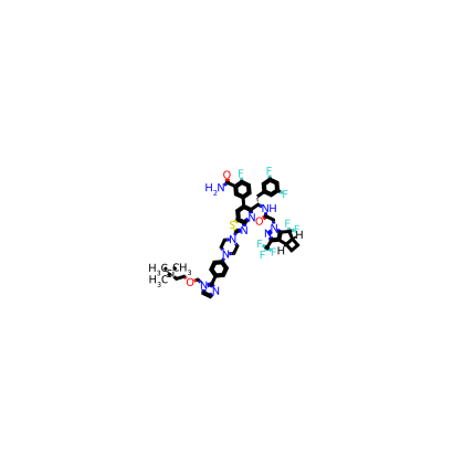 C[Si](C)(C)CCOCn1ccnc1-c1ccc(N2CCN(c3nc4nc([C@H](Cc5cc(F)cc(F)c5)NC(=O)Cn5nc(C(F)(F)F)c6c5C(F)(F)[C@@H]5CC[C@H]65)c(-c5ccc(F)c(C(N)=O)c5)cc4s3)CC2)cc1